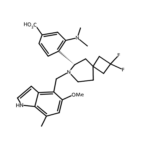 COc1cc(C)c2[nH]ccc2c1CN1CCC2(C[C@H]1c1ccc(C(=O)O)cc1N(C)C)CC(F)(F)C2